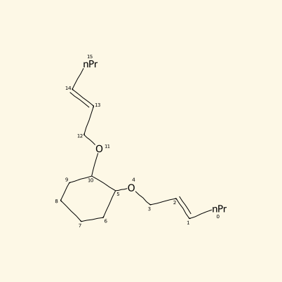 CCCC=CCOC1CCCCC1OCC=CCCC